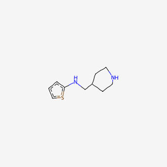 c1csc(NCC2CCNCC2)c1